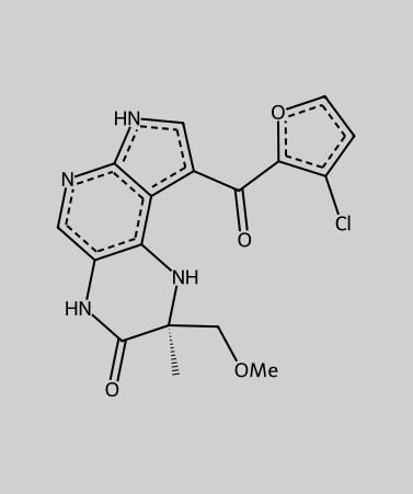 COC[C@]1(C)Nc2c(cnc3[nH]cc(C(=O)c4occc4Cl)c23)NC1=O